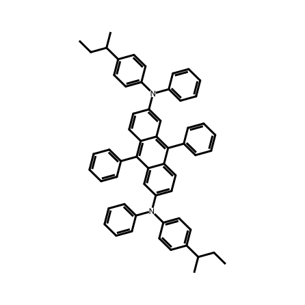 CCC(C)c1ccc(N(c2ccccc2)c2ccc3c(-c4ccccc4)c4cc(N(c5ccccc5)c5ccc(C(C)CC)cc5)ccc4c(-c4ccccc4)c3c2)cc1